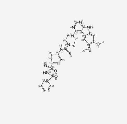 COc1cc2[nH]c3ncnc(N4CCN(C(=S)Nc5ccc(S(=O)(=O)NC(=O)c6ccccc6)cc5)CC4)c3c2cc1OC